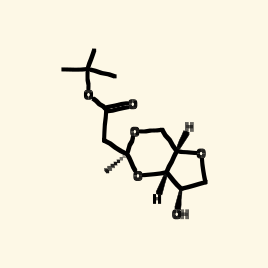 CC(C)(C)OC(=O)C[C@@]1(C)OC[C@@H]2OC[C@@H](O)[C@@H]2O1